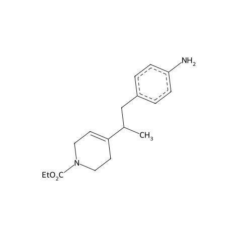 CCOC(=O)N1CC=C(C(C)Cc2ccc(N)cc2)CC1